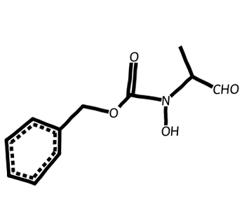 CC(C=O)N(O)C(=O)OCc1ccccc1